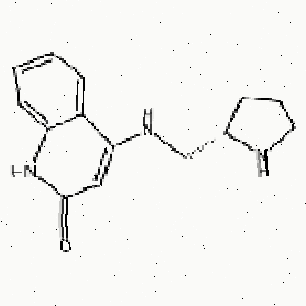 O=c1cc(NC[C@@H]2CCCN2)c2ccccc2[nH]1